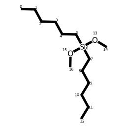 CCCCCC[Si](CCCCCC)(OC)OC